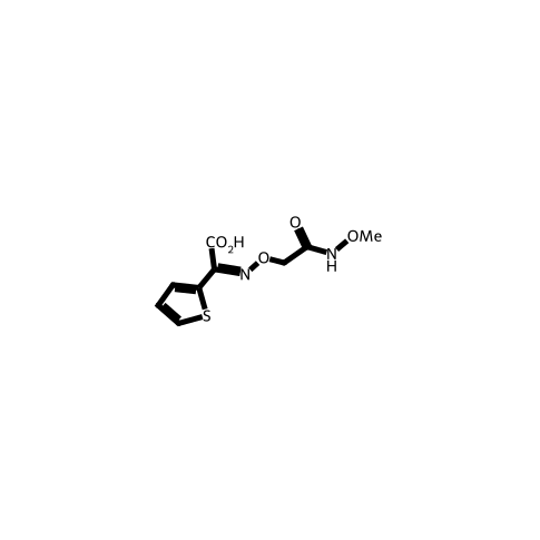 CONC(=O)CO/N=C(\C(=O)O)c1cccs1